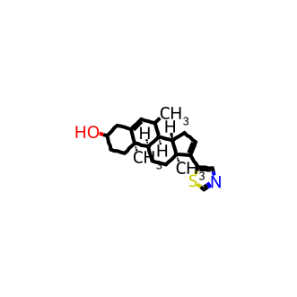 CC1C=C2CC(O)CC[C@]2(C)[C@@H]2CC[C@]3(C)C(c4cncs4)=CC[C@H]3[C@H]12